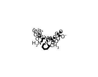 CC1CCCCN1C.NCCN.O=S(=O)([O-])[O-].O=S(=O)([O-])[O-].O=S(=O)([O-])[O-].[Cr+3].[Cr+3]